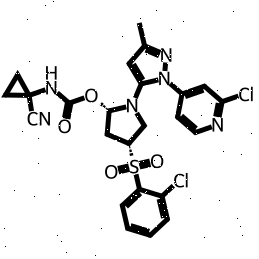 Cc1cc(N2C[C@H](S(=O)(=O)c3ccccc3Cl)C[C@@H]2OC(=O)NC2(C#N)CC2)n(-c2ccnc(Cl)c2)n1